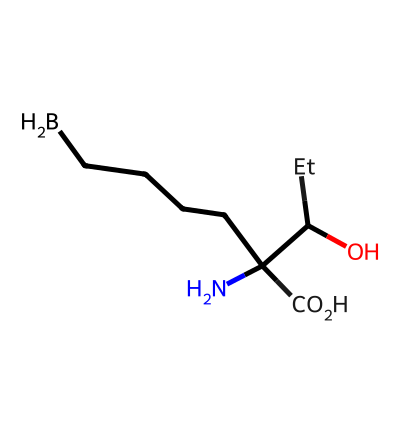 BCCCCC(N)(C(=O)O)C(O)CC